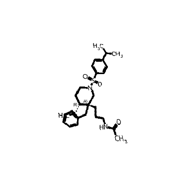 CC[C@@H]1CCN(S(=O)(=O)c2ccc(C(C)C)cc2)C[C@]1(CCCNC(C)=O)Cc1ccccc1